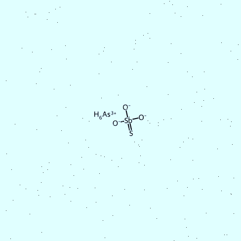 [AsH6+3].[O-][Sb]([O-])([O-])=[S]